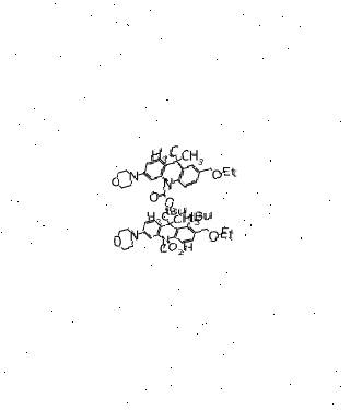 CCOCc1ccc2c(c1)C(C)(C)c1ccc(N3CCOCC3)cc1N2C(=O)OC(C)(C)C.CCOCc1ccc2c(c1C(C)(C)C)C(C)(C)c1ccc(N3CCOCC3)cc1N2C(=O)O